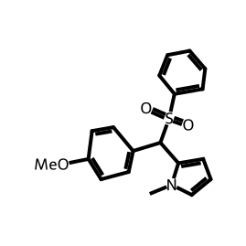 COc1ccc(C(c2cccn2C)S(=O)(=O)c2ccccc2)cc1